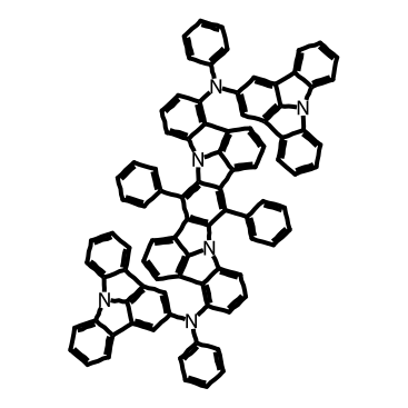 c1ccc(-c2c3c4cccc5c6c(N(c7ccccc7)c7cc8c9ccccc9n9c%10ccccc%10c(c7)c89)cccc6n(c3c(-c3ccccc3)c3c6cccc7c8c(N(c9ccccc9)c9cc%10c%11ccccc%11n%11c%12ccccc%12c(c9)c%10%11)cccc8n(c23)c76)c54)cc1